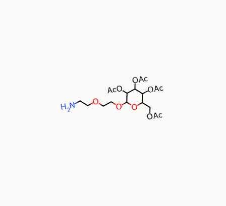 CC(=O)OCC1OC(OCCOCCN)C(OC(C)=O)C(OC(C)=O)C1OC(C)=O